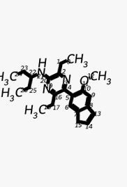 CCc1nc(-c2cc3c(cc2OC)C=CC3)c(CC)nc1NC(CC)CC